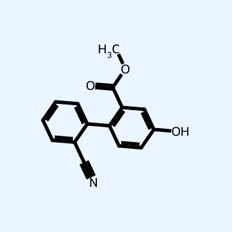 COC(=O)c1cc(O)ccc1-c1ccccc1C#N